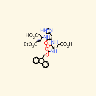 CCOC(=O)/C=C/C(CC(=O)O)NC(=O)[C@H](Cc1c[nH]cn1)NC(=O)[C@H](CCC(=O)O)NC(=O)OCC1c2ccccc2-c2ccccc21